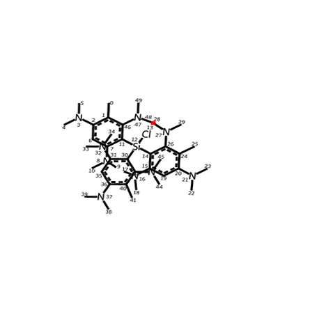 Cc1c(N(C)C)cc(N(C)C)c([Si](Cl)(c2c(N(C)C)cc(N(C)C)c(C)c2N(C)C)c2c(N(C)C)cc(N(C)C)c(C)c2N(C)C)c1N(C)C